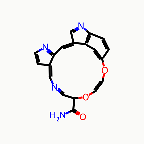 NC(=O)C1C=NC=C2C=CN=C2C=C2C=Nc3ccc(cc32)OC=CO1